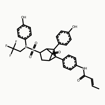 CC=CC(=O)Nc1ccc(C2=C(c3ccc(O)cc3)C3C(=O)C2CC3S(=O)(=O)N(CC(F)(F)F)c2ccc(O)cc2)cc1